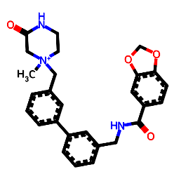 C[N+]1(Cc2cccc(-c3cccc(CNC(=O)c4ccc5c(c4)OCO5)c3)c2)CCNC(=O)C1